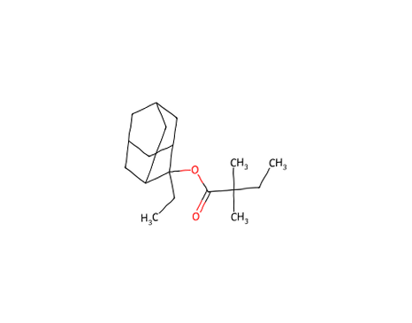 CCC(C)(C)C(=O)OC1(CC)C2CC3CC(C2)CC1C3